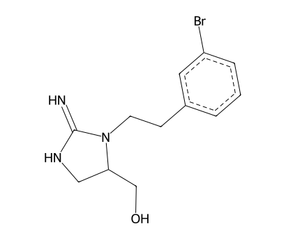 N=C1NCC(CO)N1CCc1cccc(Br)c1